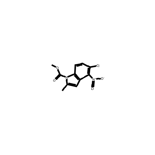 COC(=O)n1c(C)cc2c([N+](=O)[O-])c(Cl)ccc21